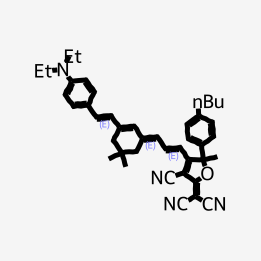 CCCCc1ccc(C2(C)OC(=C(C#N)C#N)C(C#N)=C2/C=C/C=C2C=C(/C=C/c3ccc(N(CC)CC)cc3)CC(C)(C)C/2)cc1